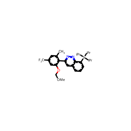 COCOc1cc(C(F)(F)F)cc(C)c1-c1cc2cccc([Si](C(C)C)(C(C)C)C(C)C)c2nn1